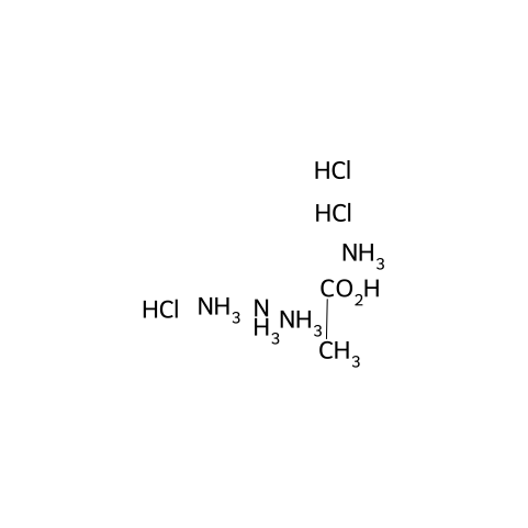 CC(=O)O.Cl.Cl.Cl.N.N.N.N